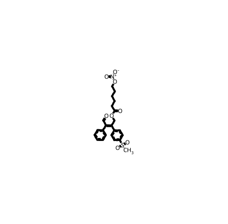 CS(=O)(=O)c1ccc(/C(COC(=O)CCCCCO[N+](=O)[O-])=C(/C=O)c2ccccc2)cc1